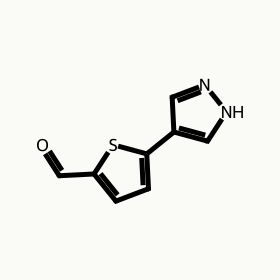 O=Cc1ccc(-c2cn[nH]c2)s1